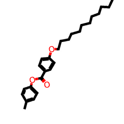 CCCCCCCCCCCCOc1ccc(C(=O)Oc2ccc(C)cc2)cc1